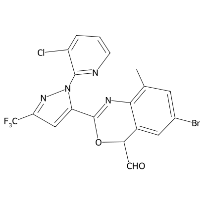 Cc1cc(Br)cc2c1N=C(c1cc(C(F)(F)F)nn1-c1ncccc1Cl)OC2C=O